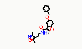 Cc1noc(C)c1CCNC(=O)c1c(C)oc2ccc(OCc3ccccc3)cc12